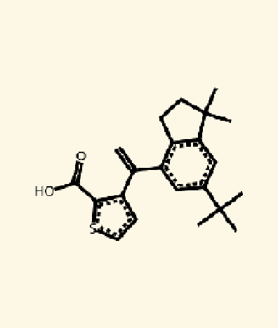 C=C(c1ccsc1C(=O)O)c1cc(C(C)(C)C)cc2c1CCC2(C)C